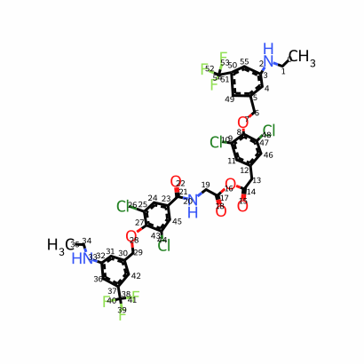 CCNc1cc(COc2c(Cl)cc(CC(=O)OC(=O)CNC(=O)c3cc(Cl)c(OCc4cc(NCC)cc(C(F)(F)F)c4)c(Cl)c3)cc2Cl)cc(C(F)(F)F)c1